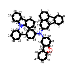 c1ccc2c(c1)-c1cccc3cc(N(c4ccc(-c5ccccc5-n5c6ccccc6c6ccccc65)cc4)c4ccc5oc6ccccc6c5c4)cc-2c13